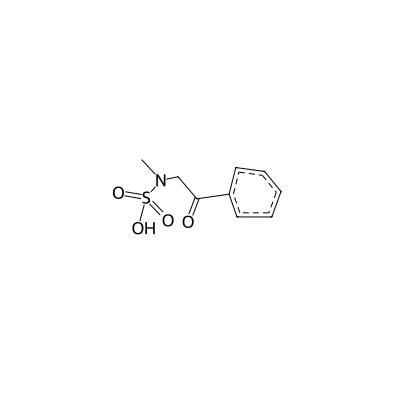 CN(CC(=O)c1ccccc1)S(=O)(=O)O